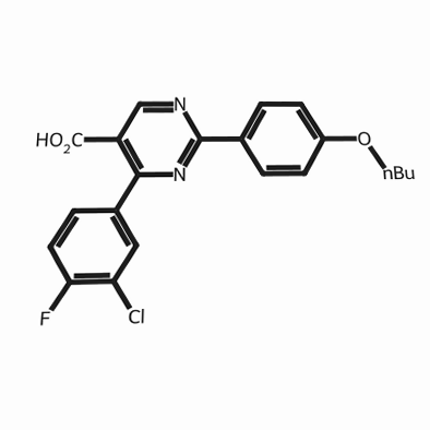 CCCCOc1ccc(-c2ncc(C(=O)O)c(-c3ccc(F)c(Cl)c3)n2)cc1